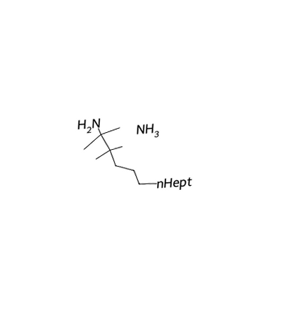 CCCCCCCCCCC(C)(C)C(C)(C)N.N